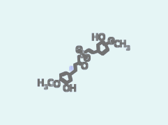 COc1ccc(C=CS(=O)(=O)CC(=O)/C=C/c2ccc(OC)c(O)c2)cc1O